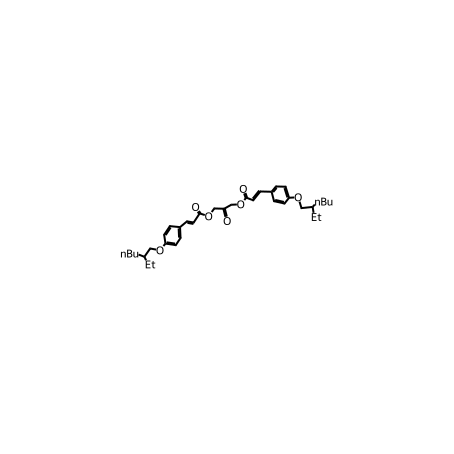 CCCCC(CC)COc1ccc(/C=C/C(=O)OCC(=O)COC(=O)/C=C/c2ccc(OCC(CC)CCCC)cc2)cc1